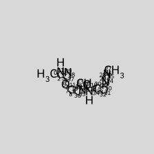 Cc1cc2c(Oc3ccc4c(c3)[C@H](C)N(C(=O)Nc3ccc5c(N6CCN(C)CC6)cccc5c3)CC4)ccnc2[nH]1